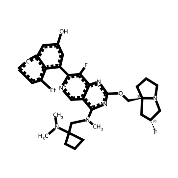 CCc1cccc2cc(O)cc(-c3ncc4c(N(C)CC5(N(C)C)CCC5)nc(OC[C@@]56CCCN5C[C@H](F)C6)nc4c3F)c12